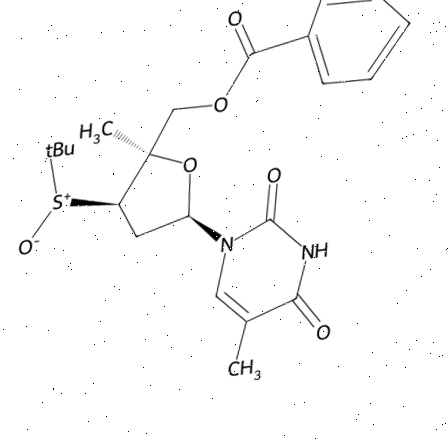 Cc1cn([C@H]2C[C@@H]([S+]([O-])C(C)(C)C)[C@@](C)(COC(=O)c3ccccc3)O2)c(=O)[nH]c1=O